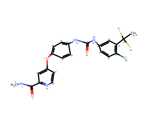 CNC(=O)c1cc(Oc2ccc(NC(=O)Nc3ccc(Cl)c(C(C)(F)F)c3)cc2)ccn1